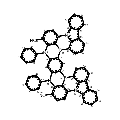 N#Cc1ccc2c3c1N(c1ccccc1)c1cc4c(cc1B3c1cccc3c5ccccc5n-2c13)B1c2c(ccc(C#N)c2N4c2ccccc2)-n2c3ccccc3c3cccc1c32